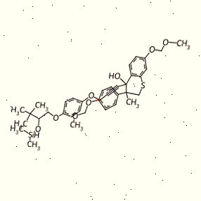 COCOc1ccc(C2(C)CSc3cc(OCOC)ccc3C2(O)C#CCOc2ccc(OCC(O[SiH](C)C)C(C)(C)C)cc2)cc1